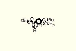 CC(C)(C)OC(=O)N[C@H]1CCC(O[Si](C)(C)C(C)(C)C)C[C@@H]1CO